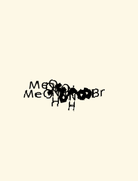 COC(=O)N[C@H](C(=O)N1CCC[C@H]1c1ncc(-c2ccc3cc(Br)ccc3c2)[nH]1)[C@@H](C)OC